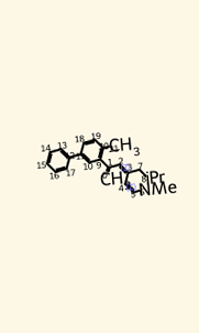 C=C(/C=C(\C=C/NC)CC(C)C)c1cc(-c2ccccc2)ccc1C